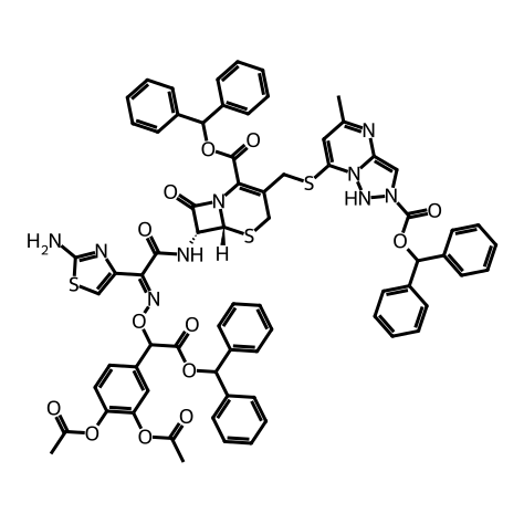 CC(=O)Oc1ccc(C(ON=C(C(=O)N[C@@H]2C(=O)N3C(C(=O)OC(c4ccccc4)c4ccccc4)=C(CSC4=CC(C)=NC5=CN(C(=O)OC(c6ccccc6)c6ccccc6)NN54)CS[C@H]23)c2csc(N)n2)C(=O)OC(c2ccccc2)c2ccccc2)cc1OC(C)=O